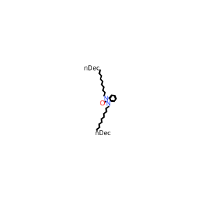 CCCCCCCCCCCCCCCCCCCCn1c(=O)n(CCCCCCCCCCCCCCCCCCCC)c2ccccc21